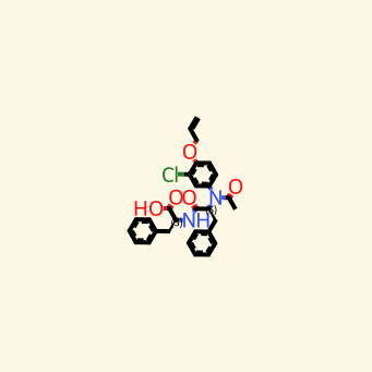 C=CCOc1ccc(N(C(C)=O)[C@@H](Cc2ccccc2)C(=O)N[C@@H](Cc2ccccc2)C(=O)O)cc1Cl